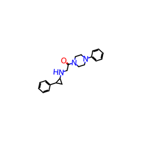 O=C(CNC1CC1c1ccccc1)N1CCN(c2ccccc2)CC1